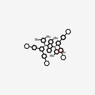 CC(C)(C)c1cc(N(c2cc(-c3ccc(C4CCCCC4)cc3)cc(-c3ccc(C4CCCCC4)cc3)c2)c2c3ccccc3c(N(c3cc(C(C)(C)C)cc(C(C)(C)C)c3)c3ccc(-c4ccc(C5CCCCC5)cc4)cc3-c3ccc(C4CCCCC4)cc3)c3cc(C(C)(C)C)ccc23)cc(C(C)(C)C)c1